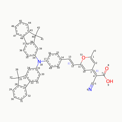 CC1=C/C(=C(/C#N)C(=O)O)C=C(/C=C/c2ccc(N(c3ccc4c(c3)C(C)(C)c3ccccc3-4)c3ccc4c(c3)C(C)(C)c3ccccc3-4)cc2)O1